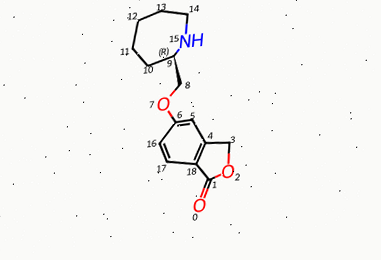 O=C1OCc2cc(OC[C@H]3CCCCCN3)ccc21